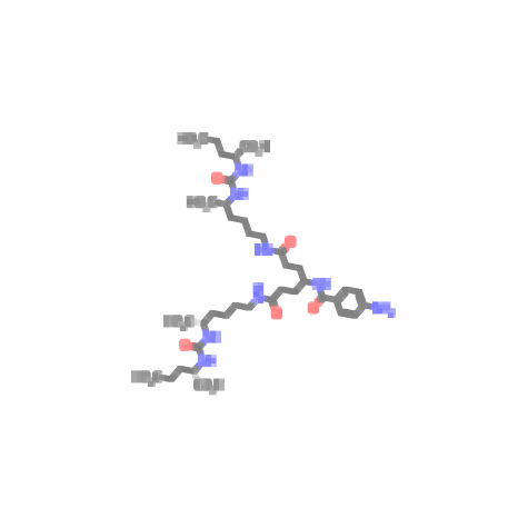 Nc1ccc(C(=O)NC(CCC(=O)NCCCC[C@H](NC(=O)N[C@@H](CCC(=O)O)C(=O)O)C(=O)O)CCC(=O)NCCCC[C@H](NC(=O)N[C@@H](CCC(=O)O)C(=O)O)C(=O)O)cc1